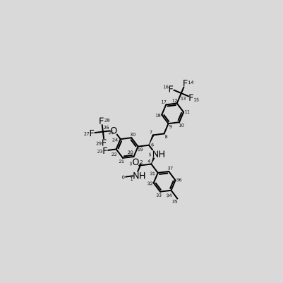 CNC(=O)[C@@H](N[C@H](CCc1ccc(C(F)(F)F)cc1)c1ccc(F)c(OC(F)(F)F)c1)c1ccc(C)cc1